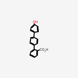 O=C(O)c1ccccc1-c1ccc(-c2ccc(O)cc2)cc1